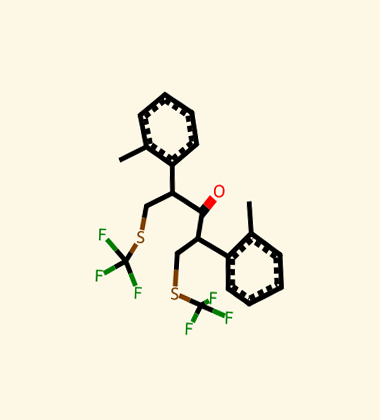 Cc1ccccc1C(CSC(F)(F)F)C(=O)C(CSC(F)(F)F)c1ccccc1C